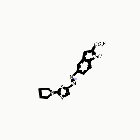 O=C(O)c1cc2cc(/N=N/c3cnc(N4CCCC4)s3)ccc2[nH]1